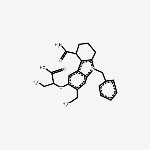 CCc1cc2c(cc1OC(CC)C(=O)O)c1c(n2Cc2ccccc2)CCCC1C(N)=O